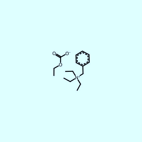 CCOC(=O)[O-].CC[N+](CC)(CC)Cc1ccccc1